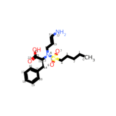 CCCCCS(=O)(=O)N(CC=CN)[C@@H](Cc1ccccc1)C(=O)O